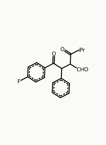 CC(C)C(=O)C(C=O)C(C(=O)c1ccc(F)cc1)c1ccccc1